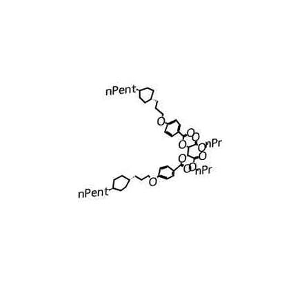 CCCCC[C@H]1CC[C@H](CCCOc2ccc(C(=O)O[C@@H](C(=O)OCCC)[C@@H](OC(=O)c3ccc(OCCC[C@H]4CC[C@H](CCCCC)CC4)cc3)C(=O)OCCC)cc2)CC1